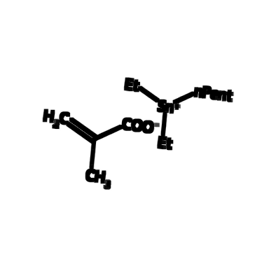 C=C(C)C(=O)[O-].CCCC[CH2][Sn+]([CH2]C)[CH2]C